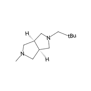 CN1C[C@@H]2CN(CC(C)(C)C)C[C@@H]2C1